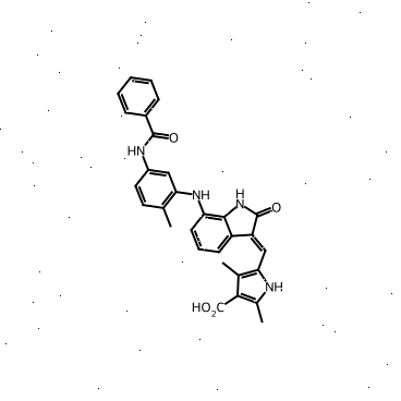 Cc1ccc(NC(=O)c2ccccc2)cc1Nc1cccc2c1NC(=O)C2=Cc1[nH]c(C)c(C(=O)O)c1C